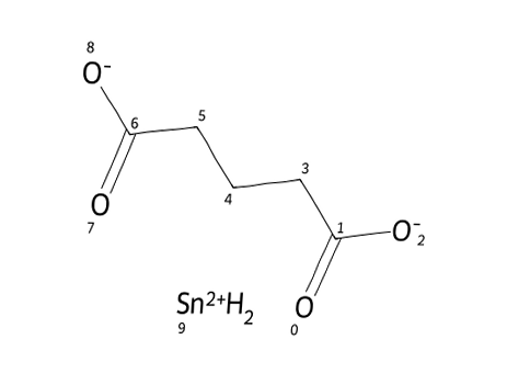 O=C([O-])CCCC(=O)[O-].[SnH2+2]